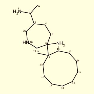 CC(N)C1CCC(N)(C2(C)CCCCCCCCC2)CNC1